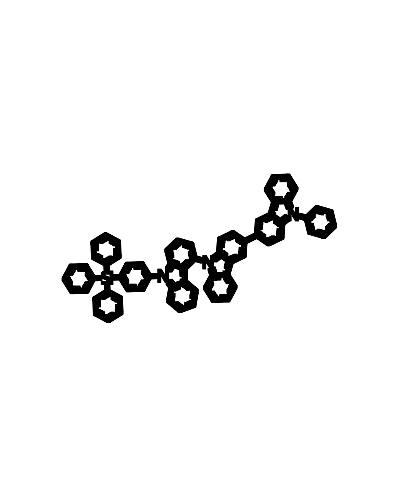 c1ccc(-n2c3ccccc3c3cc(-c4ccc5c(c4)c4ccccc4n5-c4cccc5c4c4ccccc4n5-c4ccc([Si](c5ccccc5)(c5ccccc5)c5ccccc5)cc4)ccc32)cc1